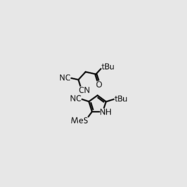 CC(C)(C)C(=O)CC(C#N)C#N.CSc1[nH]c(C(C)(C)C)cc1C#N